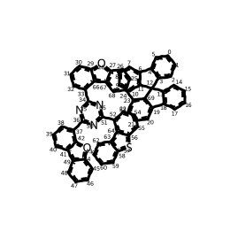 c1ccc2c(c1)-c1ccccc1C21c2ccccc2-c2cccc(-c3ccc4oc5cccc(-c6nc(-c7cccc8c7oc7ccccc78)nc(-c7cccc8sc9ccccc9c78)n6)c5c4c3)c21